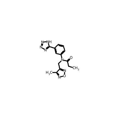 CCC(=O)N(Cc1nonc1C)c1cccc(-c2nnn[nH]2)c1